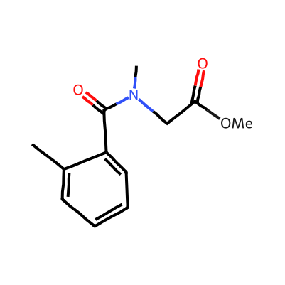 COC(=O)CN(C)C(=O)c1ccccc1C